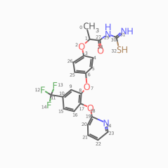 CC(Oc1ccc(Oc2cc(C(F)(F)F)ccc2Oc2ccccn2)cc1)C(=O)NC(=N)S